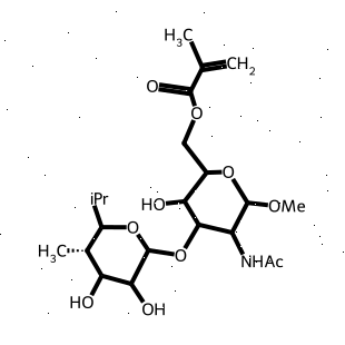 C=C(C)C(=O)OCC1OC(OC)C(NC(C)=O)C(OC2OC(C(C)C)[C@@H](C)C(O)C2O)C1O